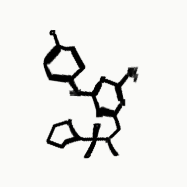 CN(Cc1nc(N)nc(Nc2ccc(Cl)cc2)n1)S(=O)(=O)C1CCCS1